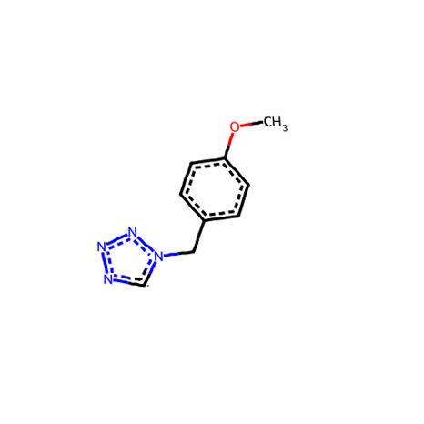 COc1ccc(Cn2[c]nnn2)cc1